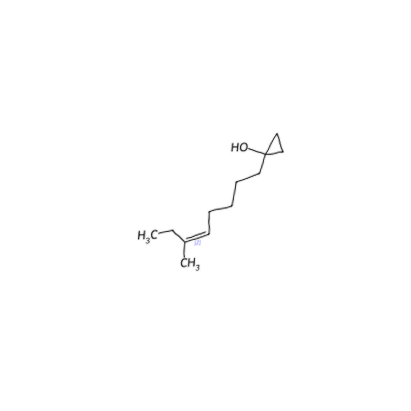 CC/C(C)=C\CCCCC1(O)CC1